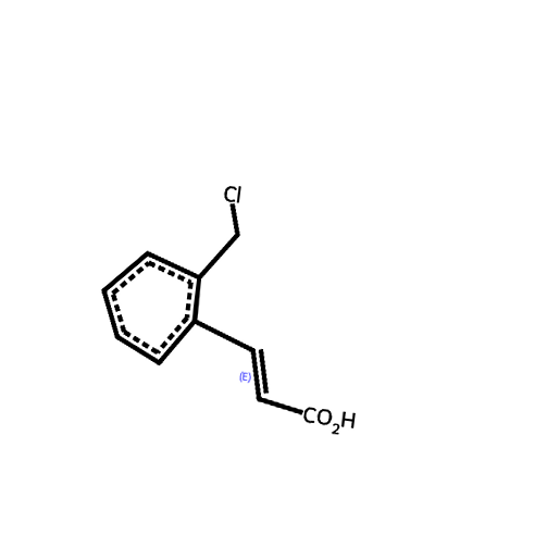 O=C(O)/C=C/c1ccccc1CCl